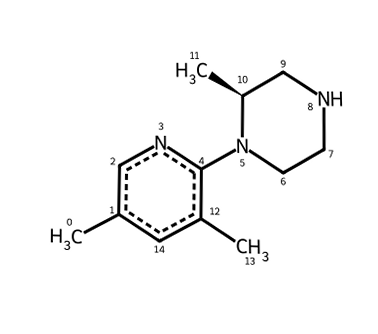 Cc1cnc(N2CCNC[C@@H]2C)c(C)c1